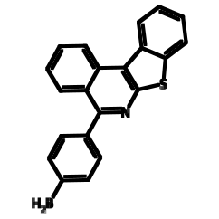 Bc1ccc(-c2nc3sc4ccccc4c3c3ccccc23)cc1